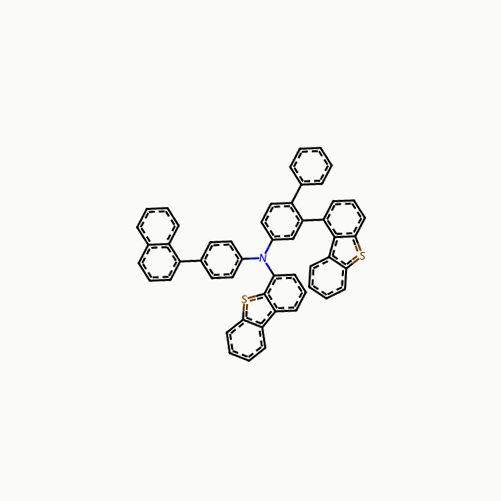 c1ccc(-c2ccc(N(c3ccc(-c4cccc5ccccc45)cc3)c3cccc4c3sc3ccccc34)cc2-c2cccc3sc4ccccc4c23)cc1